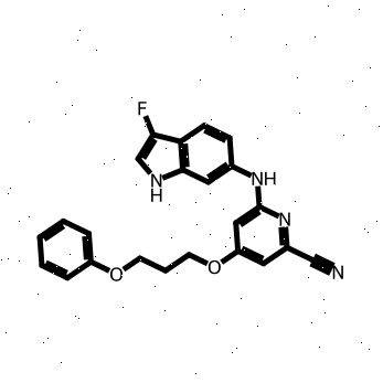 N#Cc1cc(OCCCOc2ccccc2)cc(Nc2ccc3c(F)c[nH]c3c2)n1